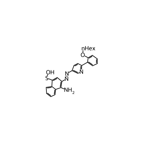 CCCCCCOc1ccccc1-c1ccc(/N=N/c2cc(SO)c3ccccc3c2N)cn1